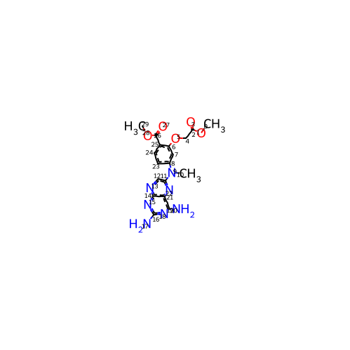 COC(=O)COc1cc(N(C)c2cnc3nc(N)nc(N)c3n2)ccc1C(=O)OC